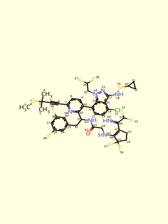 CSC(C)(C)C#Cc1ccc(-c2ccc(Cl)c3c(NSC4CC4)nn(CC(F)F)c23)c(C(Cc2cc(F)cc(F)c2)NC(=O)CNC2=C(C(=N)C(F)F)CCC2(F)F)n1